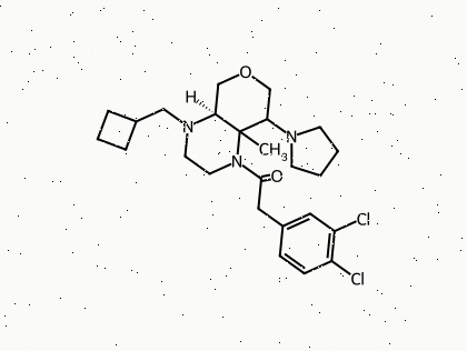 CC12C(N3CCCC3)COC[C@@H]1N(CC1CCC1)CCN2C(=O)Cc1ccc(Cl)c(Cl)c1